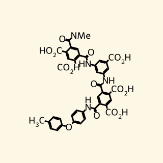 CNC(=O)c1cc(C(=O)Nc2cc(NC(=O)c3cc(C(=O)Nc4ccc(Oc5ccc(C)cc5)cc4)c(C(=O)O)cc3C(=O)O)cc(C(=O)O)c2)c(C(=O)O)cc1C(=O)O